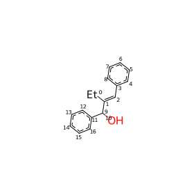 CC/C(=C\c1ccccc1)C(O)c1ccccc1